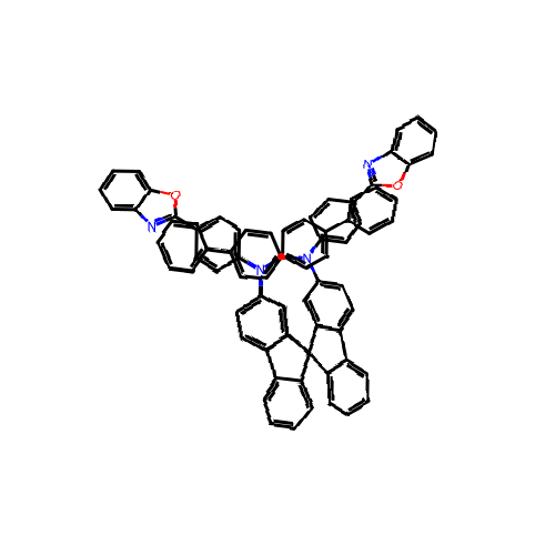 c1ccc(-c2ccc(N(c3ccc(-c4nc5ccccc5o4)cc3)c3ccc4c(c3)C3(c5ccccc5-4)c4ccccc4-c4ccc(N(c5ccc(-c6ccccc6)cc5)c5ccc(-c6nc7ccccc7o6)cc5)cc43)cc2)cc1